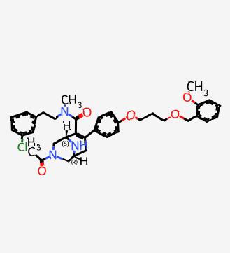 COc1ccccc1COCCCOc1ccc(C2=C(C(=O)N(C)CCc3cccc(Cl)c3)[C@H]3CN(C(C)=O)C[C@@H](C2)N3)cc1